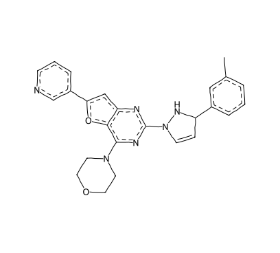 Cc1cccc(C2C=CN(c3nc(N4CCOCC4)c4oc(-c5cccnc5)cc4n3)N2)c1